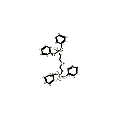 O=P(CCOCCP(=O)(Oc1ccccc1)Oc1ccccc1)(Oc1ccccc1)Oc1ccccc1